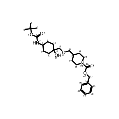 CC(C)(C)OC(=O)NC1CCC(O)(COCC2CCN(C(=O)OCc3ccccc3)CC2)CC1